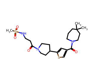 CC1(C)CCCN(C(=O)c2csc(C3CCN(C(=O)CCNS(C)(=O)=O)CC3)c2)CC1